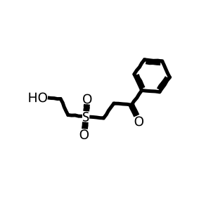 O=C(CCS(=O)(=O)CCO)c1ccccc1